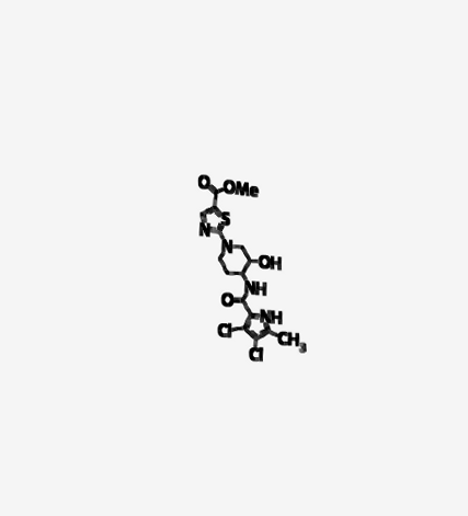 COC(=O)c1cnc(N2CCC(NC(=O)c3[nH]c(C)c(Cl)c3Cl)C(O)C2)s1